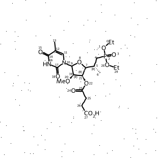 CCOP(=O)(C[C@H](C)C1OC(n2cc(C)c(=O)[nH]c2=O)[C@H](OC)[C@@H]1OC(=O)CCC(=O)O)OCC